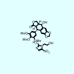 COc1cc([C@@H]2c3cc4c(cc3[C@H](O)[C@H]3COC(=O)[C@H]23)OCO4)cc(OC)c1OC.Cc1ncc([N+](=O)[O-])n1CCO